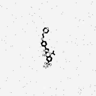 CC(C)Oc1ccc(S(N)(=O)=O)cc1Nc1nc(-c2ccc(OCCN3CCOCC3)cc2)cs1